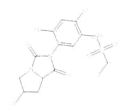 O=C1C2CC(Cl)CN2C(=O)N1c1cc(NS(=O)(=O)CCl)c(Cl)cc1F